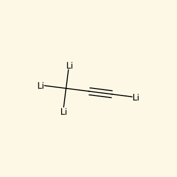 [Li][C]#C[C]([Li])([Li])[Li]